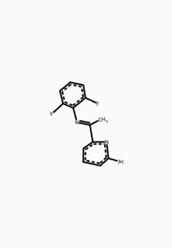 CC(=O)c1cccc(/C(C)=N/c2c(F)cccc2F)n1